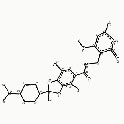 CSc1cc(Cl)[nH]c(=O)c1CNC(=O)c1cc(Cl)c2c(c1C)OC(C)(C1CCC(N(C)C)CC1)O2